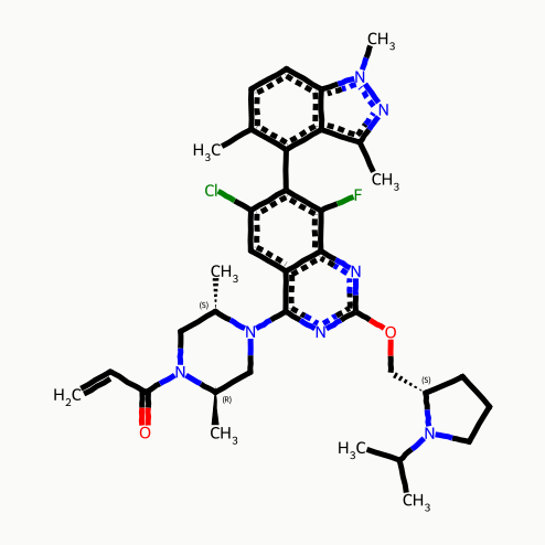 C=CC(=O)N1C[C@H](C)N(c2nc(OC[C@@H]3CCCN3C(C)C)nc3c(F)c(-c4c(C)ccc5c4c(C)nn5C)c(Cl)cc23)C[C@H]1C